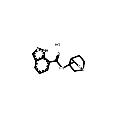 Cl.O=C(NC1CN2CCC1CC2)c1cccc2cn[nH]c12